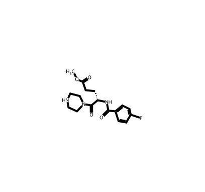 COC(=O)CC[C@H](NC(=O)c1ccc(F)cc1)C(=O)N1CCNCC1